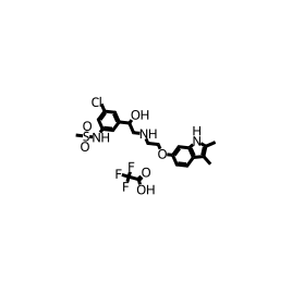 Cc1[nH]c2cc(OCCNCC(O)c3cc(Cl)cc(NS(C)(=O)=O)c3)ccc2c1C.O=C(O)C(F)(F)F